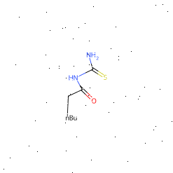 CCCCCC(=O)NC(N)=S